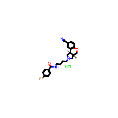 Cl.N#Cc1ccc2c(c1)[C@@H]1CN(CCCCNC(=O)c3ccc(Br)cc3)C[C@H]1CO2